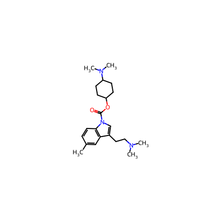 Cc1ccc2c(c1)c(CCN(C)C)cn2C(=O)OC1CCC(N(C)C)CC1